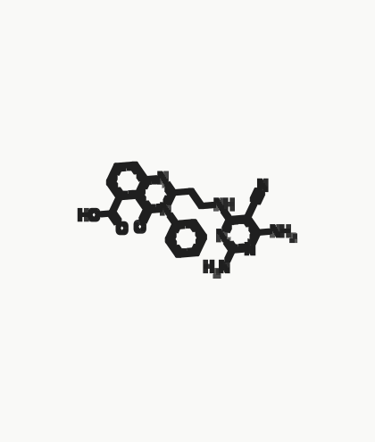 N#Cc1c(N)nc(N)nc1NCCc1nc2cccc(C(=O)O)c2c(=O)n1-c1ccccc1